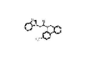 Cc1ccc(-c2ccccc2CNC(=O)Cn2cnc3ccccc32)cc1